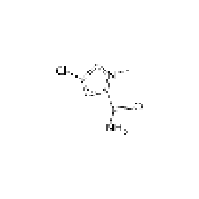 Cn1cc(Cl)cc1C(N)=O